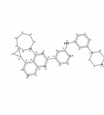 CN1CCN(c2cccc(Nc3cc(-c4nc(N5CCCCCC5)c5c(C6CC6)cncc5n4)ccn3)c2)CC1